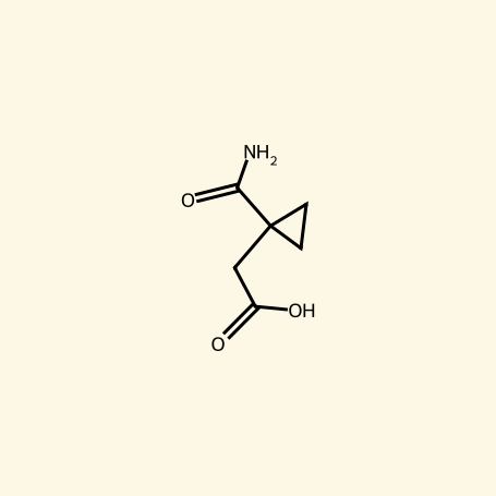 NC(=O)C1(CC(=O)O)CC1